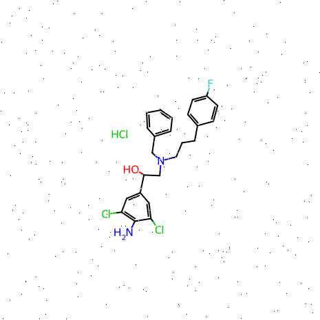 Cl.Nc1c(Cl)cc(C(O)CN(CCCc2ccc(F)cc2)Cc2ccccc2)cc1Cl